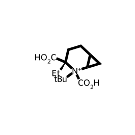 CC[C@@]1(C(=O)O)CCC2CC2[N+]1(C(=O)O)C(C)(C)C